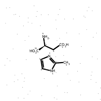 Cc1ncc[nH]1.N[C@@H](CC(=O)O)C(=O)O